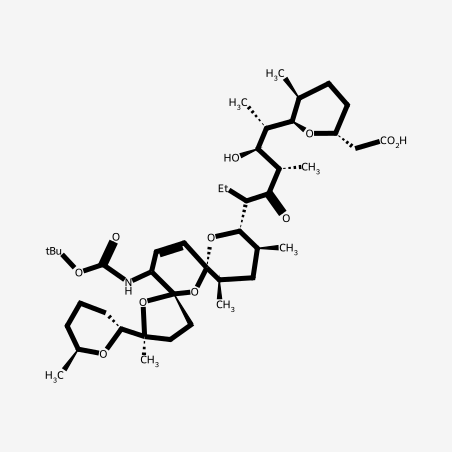 CCC(C(=O)[C@@H](C)[C@@H](O)[C@H](C)[C@@H]1O[C@@H](CC(=O)O)CC[C@@H]1C)[C@H]1O[C@]2(C=CC(NC(=O)OC(C)(C)C)[C@]3(CC[C@@](C)([C@H]4CCC[C@H](C)O4)O3)O2)[C@H](C)C[C@@H]1C